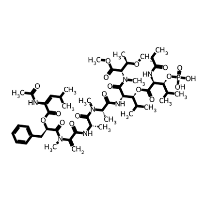 C=C(C(=O)N[C@@H](C)C(=O)N(C)[C@@H](C)C(=O)N[C@H](C(=O)N(C)[C@H](C(=O)OC)[C@@H](C)OC)[C@H](OC(=O)[C@@H](NC(=O)CC)[C@H](OP(=O)(O)O)C(C)C)C(C)C)N(C)C(=O)[C@@H](Cc1ccccc1)OC(=O)/C(=C\C(C)C)NC(C)=O